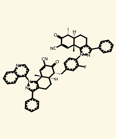 C[C@H]1C(=O)C(C#N)=C[C@@]2(C)c3c(c(-c4ccccc4)nn3-c3ccc(C[C@H]4C(=O)C(C#N)=C[C@@]5(C)c6c(c(-c7ccccc7)nn6-c6ccnc7ccccc67)CC[C@H]45)cc3F)CC[C@H]12